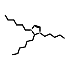 CCCCCCC1N(CCCCC)C=CN1CCCCCC